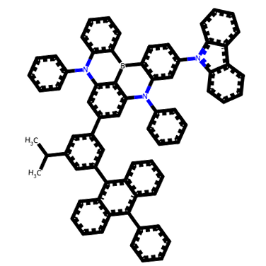 CC(C)c1cc(-c2cc3c4c(c2)N(c2ccccc2)c2cc(-n5c6ccccc6c6ccccc65)ccc2B4c2ccccc2N3c2ccccc2)cc(-c2c3ccccc3c(-c3ccccc3)c3ccccc23)c1